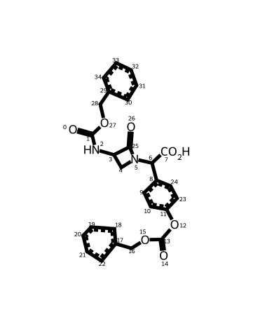 O=C(NC1CN(C(C(=O)O)c2ccc(OC(=O)OCc3ccccc3)cc2)C1=O)OCc1ccccc1